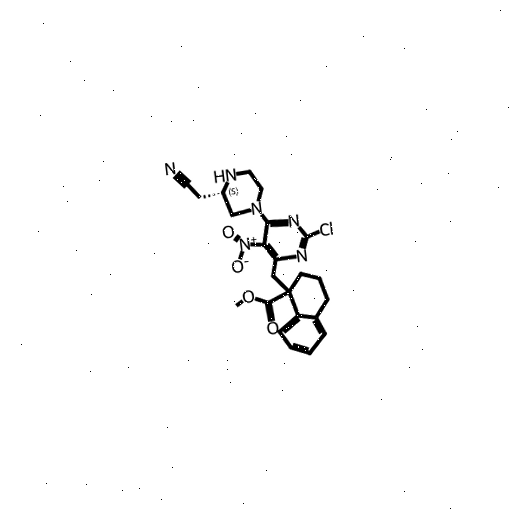 COC(=O)C1(Cc2nc(Cl)nc(N3CCN[C@@H](CC#N)C3)c2[N+](=O)[O-])CCCc2ccccc21